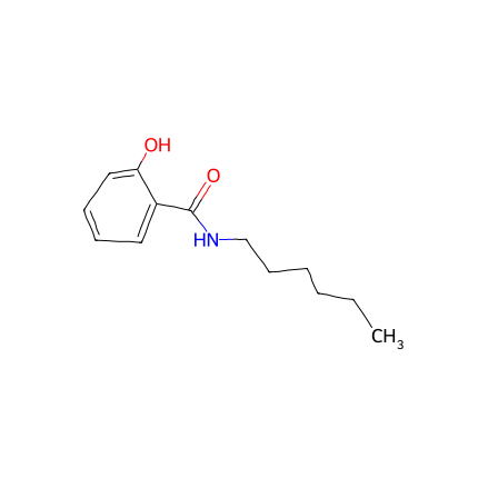 CCCCCCNC(=O)c1ccccc1O